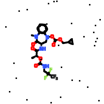 C[C@H](OC(=O)NCC(F)(F)C(F)(F)F)C(=O)N[C@H]1CN(OC(=O)OCC2CC2)c2ccccc2N(C)C1=O